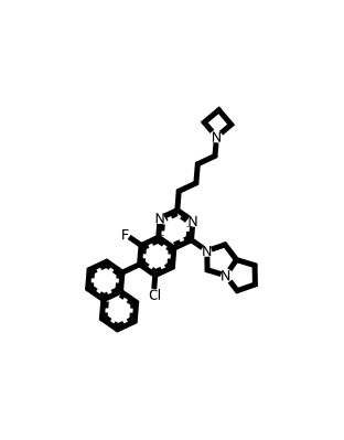 Fc1c(-c2cccc3ccccc23)c(Cl)cc2c(N3CC4CCCN4C3)nc(CCCCN3CCC3)nc12